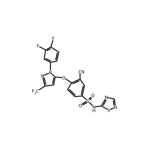 N#Cc1cc(S(=O)(=O)Nc2ncns2)ccc1Oc1cc(C(F)(F)F)nn1-c1ccc(F)c(F)c1